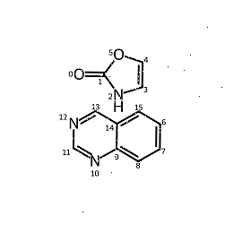 O=c1[nH]cco1.c1ccc2ncncc2c1